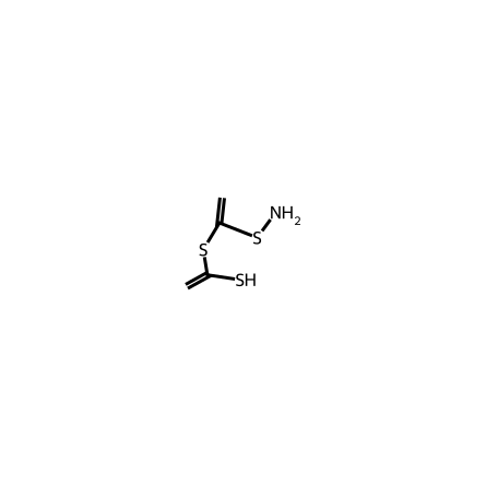 C=C(S)SC(=C)SN